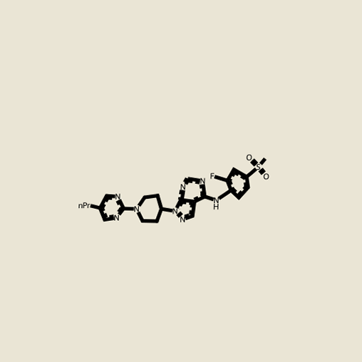 CCCc1cnc(N2CCC(n3ncc4c(Nc5ccc(S(C)(=O)=O)cc5F)ncnc43)CC2)nc1